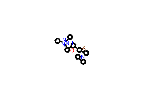 C1=CCC(C2=NC(c3cccc4oc5c(-c6ccc7c(c6)sc6cccc(-n8c9ccccc9c9ccccc98)c67)cccc5c34)NC(c3ccccc3)=N2)C=C1